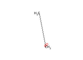 CCCCCCCCCCCCCCCCCCCCCCCCCCCCCC(=O)OC